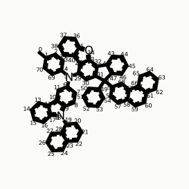 Cc1ccc(N(c2ccc3c(c2)c2ccccc2n3-c2cccc3ccccc23)c2cc3c(c4oc5ccccc5c24)-c2ccccc2C3(c2ccccc2)c2ccc3ccc4ccccc4c3c2)cc1